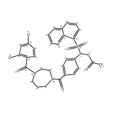 O=C(c1ccc(N(OC(=O)C(F)(F)F)S(=O)(=O)c2cccc3cccnc23)cc1)N1CCCN(C(=O)c2ccc(Cl)cc2Cl)CC1